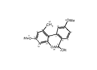 COc1ccc(CO)c(-c2c(C)cc(OC)nc2OC)c1